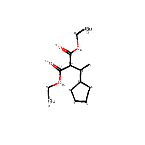 CC(C1CCCC1)C(C(=O)OCC(C)(C)C)C(=O)OCC(C)(C)C